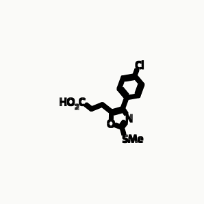 CSc1nc(-c2ccc(Cl)cc2)c(CCC(=O)O)o1